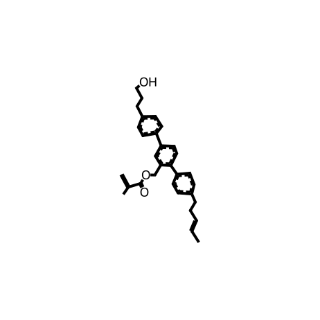 C=C(C)C(=O)OCc1cc(-c2ccc(CCCO)cc2)ccc1-c1ccc(CC/C=C/C)cc1